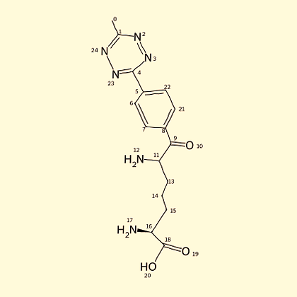 Cc1nnc(-c2ccc(C(=O)C(N)CCC[C@H](N)C(=O)O)cc2)nn1